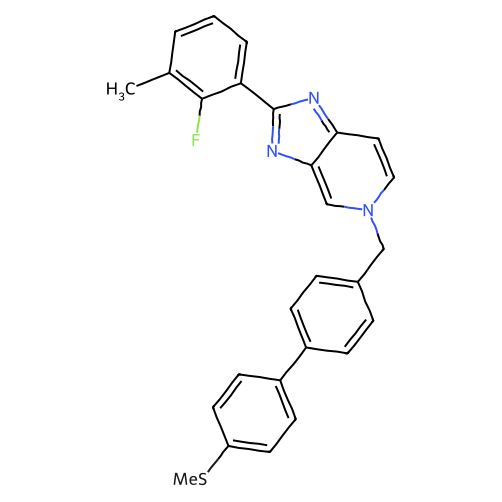 CSc1ccc(-c2ccc(Cn3ccc4nc(-c5cccc(C)c5F)nc-4c3)cc2)cc1